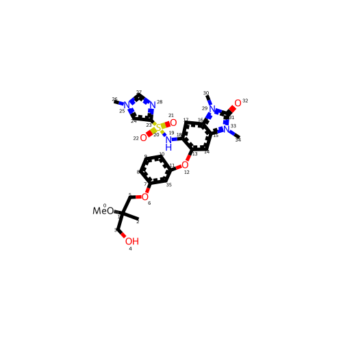 COC(C)(CO)COc1cccc(Oc2cc3c(cc2NS(=O)(=O)c2cn(C)cn2)n(C)c(=O)n3C)c1